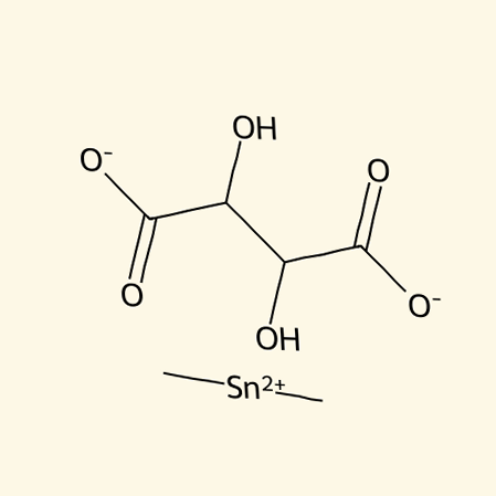 O=C([O-])C(O)C(O)C(=O)[O-].[CH3][Sn+2][CH3]